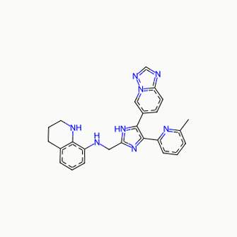 Cc1cccc(-c2nc(CNc3cccc4c3NCCC4)[nH]c2-c2ccc3ncnn3c2)n1